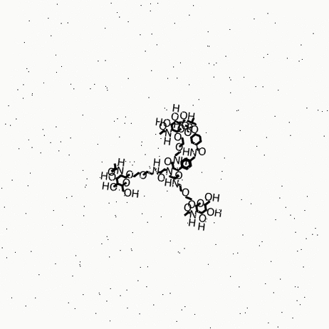 CC(=O)NC1C(OCCOCCNC(=O)CN(CC(=O)NCCOCCOC2OC(CO)C(O)C(O)C2NC(C)=O)C(Cc2ccc(CNC(=O)[C@H]3CC[C@H](OP(=O)(O)C(C)(C)C)CC3)cc2)C(=O)NCCOCCOC2OC(CO)C(O)C(O)C2NC(C)=O)OC(CO)C(O)C1O